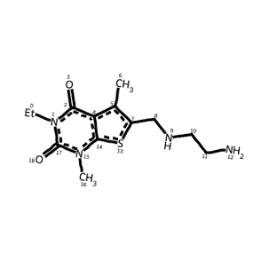 CCn1c(=O)c2c(C)c(CNCCN)sc2n(C)c1=O